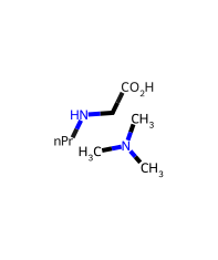 CCCNCC(=O)O.CN(C)C